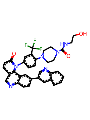 O=C(NCCO)N1CCN(c2ccc(-n3c(=O)ccc4cnc5ccc(-c6cnc7ccccc7c6)cc5c43)cc2C(F)(F)F)CC1